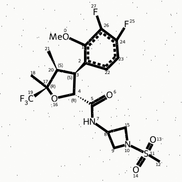 COc1c([C@H]2[C@H](C(=O)NC3CN(S(C)(=O)=O)C3)O[C@@](C)(C(F)(F)F)[C@H]2C)ccc(F)c1F